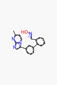 Cc1ccn2c(-c3cccc(-c4ccccc4/C=N/O)c3)cnc2n1